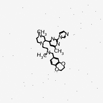 Cc1cc(C2CN(C)CCN2CCN(C)Cc2ccc3c(c2)OCCO3)nc(-n2ccnc2)n1